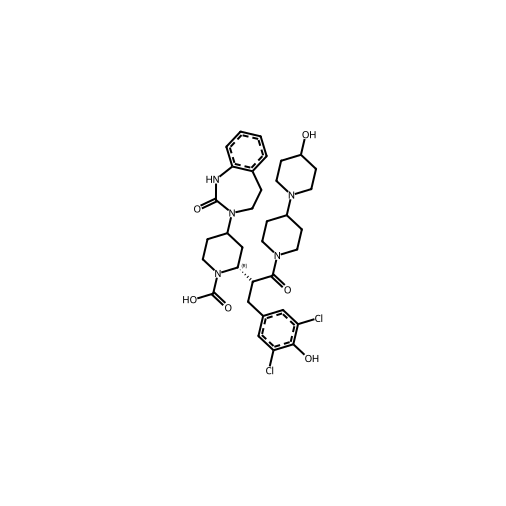 O=C(C(Cc1cc(Cl)c(O)c(Cl)c1)[C@H]1CC(N2CCc3ccccc3NC2=O)CCN1C(=O)O)N1CCC(N2CCC(O)CC2)CC1